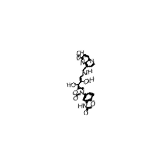 COc1ccc2nccc(CNC[C@@H](O)[C@H](O)C3CN(c4ccc5c(c4)NC(=O)CO5)C(=O)O3)c2n1